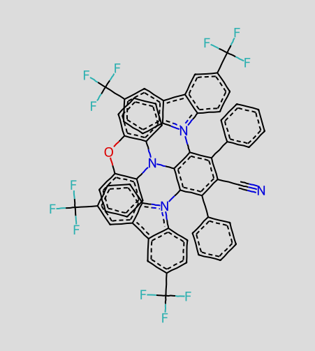 N#Cc1c(-c2ccccc2)c(-n2c3ccc(C(F)(F)F)cc3c3cc(C(F)(F)F)ccc32)c(N2c3ccccc3Oc3ccccc32)c(-n2c3ccc(C(F)(F)F)cc3c3cc(C(F)(F)F)ccc32)c1-c1ccccc1